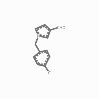 O=Cc1ccn(Cc2ccc(Cl)cc2)c1